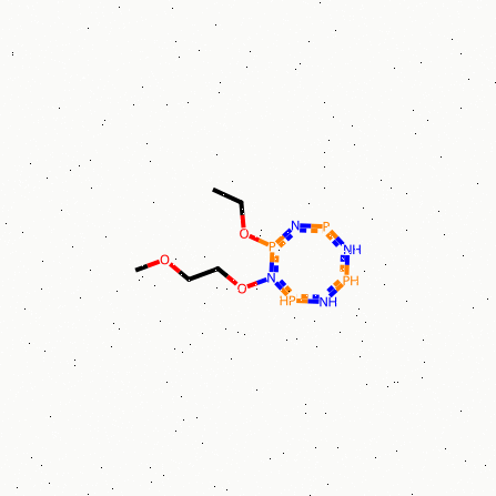 CCOp1np[nH][pH][nH][pH]n1OCCOC